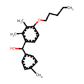 CCCCCOc1ccc(C(O)c2ccc(C)cc2)c(C)c1C